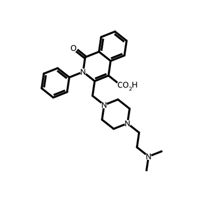 CN(C)CCN1CCN(Cc2c(C(=O)O)c3ccccc3c(=O)n2-c2ccccc2)CC1